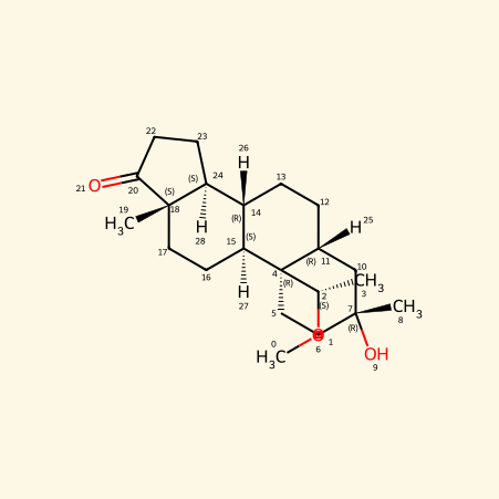 CO[C@@H](C)[C@]12CC[C@@](C)(O)C[C@H]1CC[C@@H]1[C@@H]2CC[C@]2(C)C(=O)CC[C@@H]12